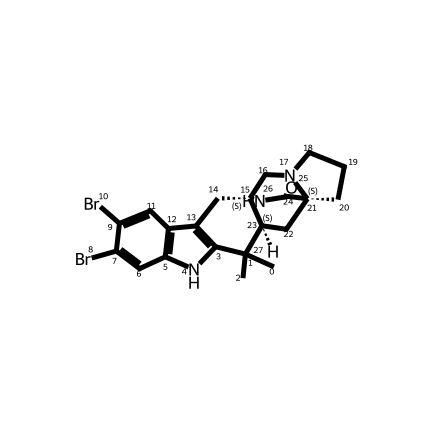 CC1(C)c2[nH]c3cc(Br)c(Br)cc3c2C[C@@]23CN4CCC[C@]4(C[C@@H]12)C(=O)N3